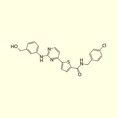 O=C(NCc1ccc(Cl)cc1)c1ccc(-c2ccnc(Nc3cccc(CO)c3)n2)s1